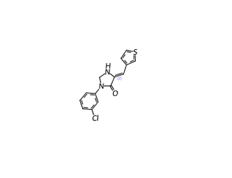 O=C1/C(=C/c2ccsc2)NCN1c1cccc(Cl)c1